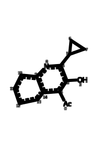 CC(=O)c1c(O)c(C2CC2)nc2ccccc12